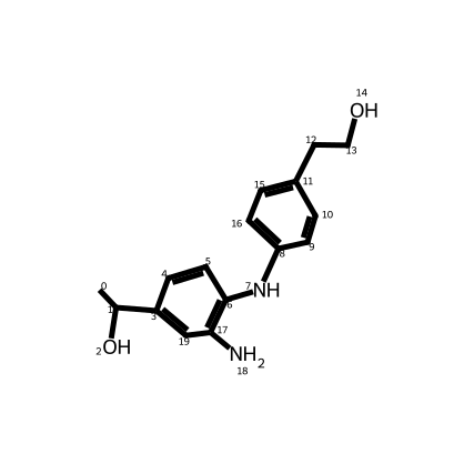 CC(O)c1ccc(Nc2ccc(CCO)cc2)c(N)c1